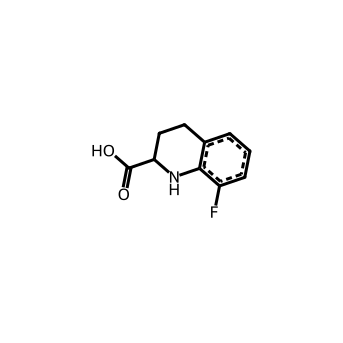 O=C(O)C1CCc2cccc(F)c2N1